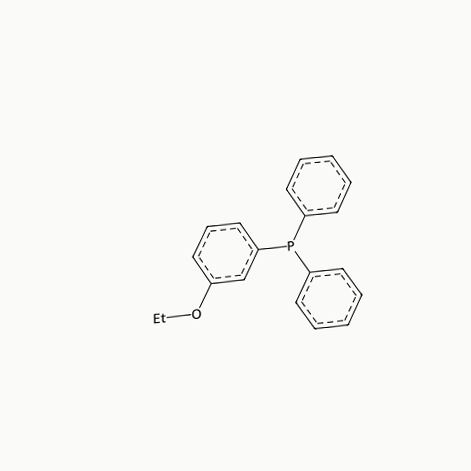 CCOc1cccc(P(c2ccccc2)c2ccccc2)c1